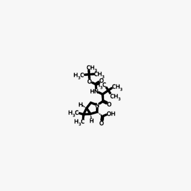 CC(C)(C)OC(=O)NC(C(=O)N1C[C@H]2[C@@H]([C@H]1C(=O)O)C2(C)C)C(C)(C)C